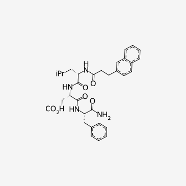 CC(C)C[C@H](NC(=O)CCc1ccc2ccccc2c1)C(=O)N[C@@H](CC(=O)O)C(=O)N[C@@H](Cc1ccccc1)C(N)=O